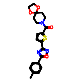 Cc1ccc(-c2nc(-c3ccc(C(=O)N4CCC5(CC4)OCCO5)s3)no2)cc1